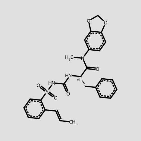 CC=Cc1ccccc1S(=O)(=O)NC(=O)N[C@@H](Cc1ccccc1)C(=O)N(C)c1ccc2c(c1)OCO2